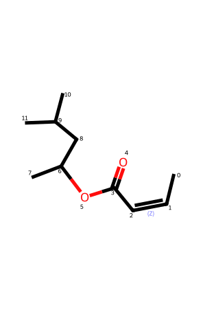 C/C=C\C(=O)OC(C)CC(C)C